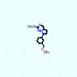 CSc1ncc2ccc(-c3cccc(COC(C)(C)C)c3)n2n1